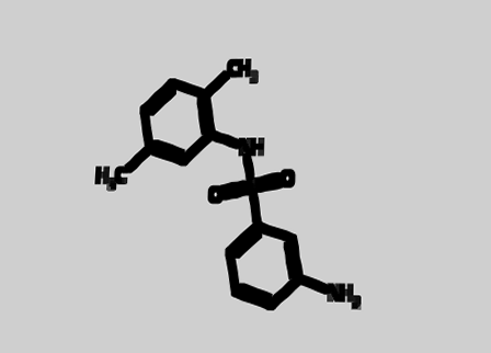 Cc1ccc(C)c(NS(=O)(=O)c2cccc(N)c2)c1